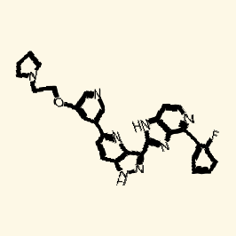 Fc1ccccc1-c1nccc2[nH]c(-c3n[nH]c4ccc(-c5cncc(OCCN6CCCC6)c5)nc34)nc12